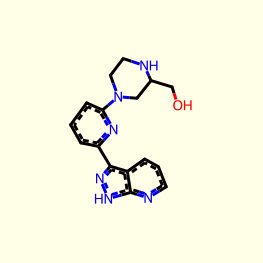 OCC1CN(c2cccc(-c3n[nH]c4ncccc34)n2)CCN1